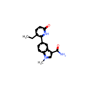 CCc1ccc(=O)[nH]c1-c1ccc2c(c1)c(C(N)=O)cn2C